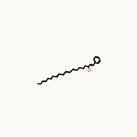 CCCCCCCCCCCCCCCCCC(=O)C=Cc1ccccc1